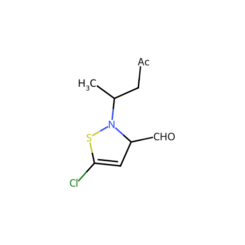 CC(=O)CC(C)N1SC(Cl)=CC1C=O